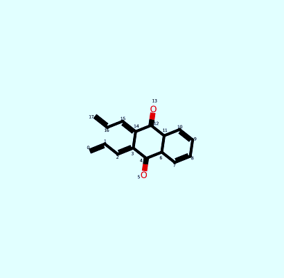 C=C/C=C1/C(=O)C2C=CC=CC2C(=O)/C1=C/C=C